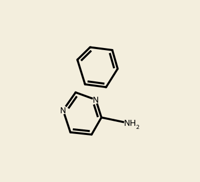 Nc1ccncn1.c1ccccc1